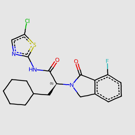 O=C(Nc1ncc(Cl)s1)[C@H](CC1CCCCC1)N1Cc2cccc(F)c2C1=O